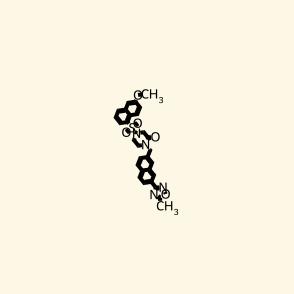 COc1ccc2c(S(=O)(=O)N3CCN(Cc4ccc5ccc(-c6noc(C)n6)cc5c4)C(=O)C3)cccc2c1